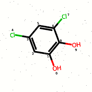 Oc1cc(Cl)cc(Cl)c1O